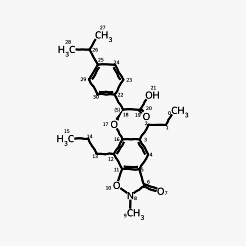 CCCc1cc2c(=O)n(C)oc2c(CCC)c1O[C@H](C(=O)O)c1ccc(C(C)C)cc1